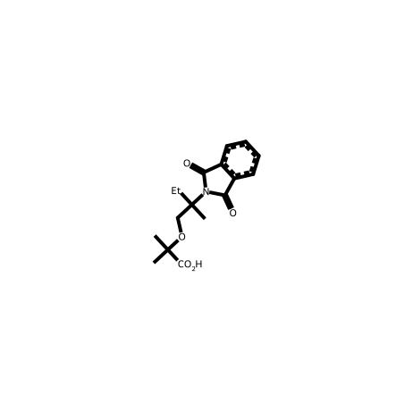 CCC(C)(COC(C)(C)C(=O)O)N1C(=O)c2ccccc2C1=O